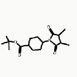 CC1C(=O)N(C2CCC(C(=O)OC(C)(C)C)CC2)C(=O)C1C